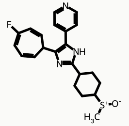 C[S+]([O-])C1CCC(c2nc(C3C=CC=C(F)C=C3)c(-c3ccncc3)[nH]2)CC1